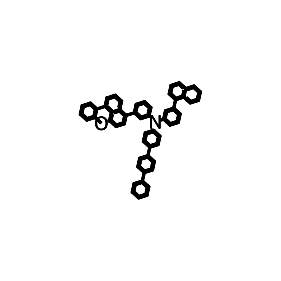 c1ccc(-c2ccc(-c3ccc(N(c4cccc(-c5cccc6ccccc56)c4)c4cccc(-c5ccc6c7c(cccc57)-c5ccccc5O6)c4)cc3)cc2)cc1